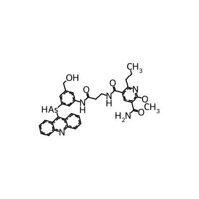 CCCc1nc(OC)c(C(N)=O)cc1C(=O)NCCC(=O)Nc1cc(CO)cc([AsH]c2c3ccccc3nc3ccccc23)c1